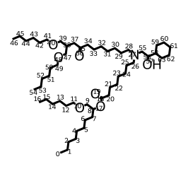 CCCCCCCCC(COCCCCCC)OC(=O)CCCCCCCN(CCCCCCCC(=O)CC(COCCCCCC)COCCCCCC)CC(O)C1CCCCC1